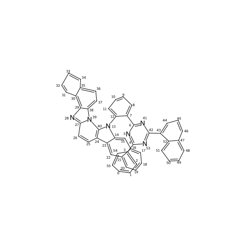 c1ccc(-c2nc(-c3ccccc3-n3c4cc5ccccc5cc4c4ccc5nc6c7ccccc7ccc6n5c43)nc(-c3cccc4ccccc34)n2)cc1